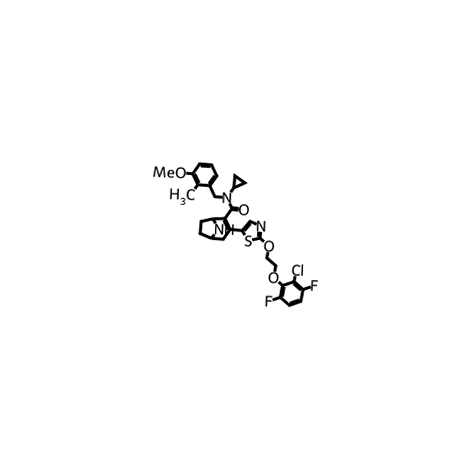 COc1cccc(CN(C(=O)C2=C(c3cnc(OCCOc4c(F)ccc(F)c4Cl)s3)CC3CCC2N3)C2CC2)c1C